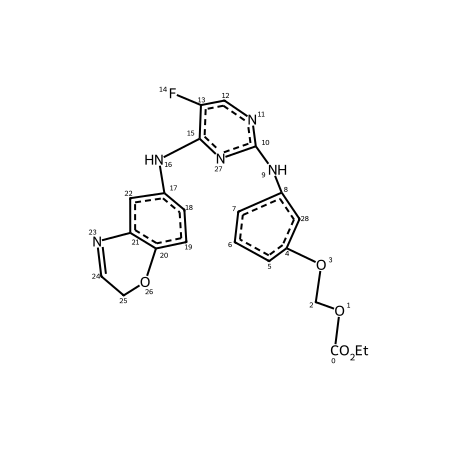 CCOC(=O)OCOc1cccc(Nc2ncc(F)c(Nc3ccc4c(c3)N=CCO4)n2)c1